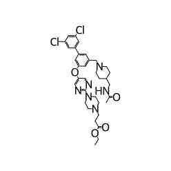 CCOC(=O)CCN1CCN(c2ncc(Oc3cc(CN4CCC(CNC(C)=O)CC4)cc(-c4cc(Cl)cc(Cl)c4)c3)cn2)CC1